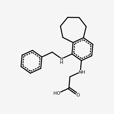 O=C(O)CNc1ccc2c(c1NCc1ccccc1)CCCCC2